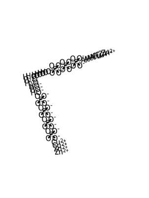 O.O.O.O.O=P([O-])([O-])[O-].O=P([O-])([O-])[O-].O=P([O-])([O-])[O-].O=P([O-])([O-])[O-].O=P([O-])([O-])[O-].O=P([O-])([O-])[O-].O=P([O-])([O-])[O-].[Al+3].[Al+3].[Al+3].[Al+3].[Cu+2].[Cu+2].[Cu+2].[Cu+2].[OH-].[OH-].[OH-].[OH-].[OH-].[OH-].[OH-].[Zn+2].[Zn+2].[Zn+2].[Zn+2]